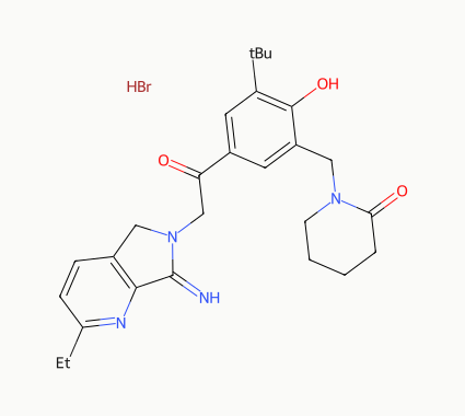 Br.CCc1ccc2c(n1)C(=N)N(CC(=O)c1cc(CN3CCCCC3=O)c(O)c(C(C)(C)C)c1)C2